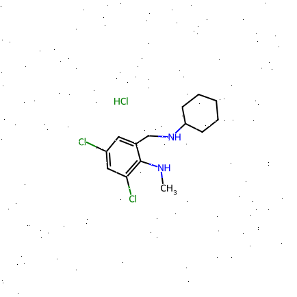 CNc1c(Cl)cc(Cl)cc1CNC1CCCCC1.Cl